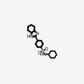 O=S(=O)(NC1CCCCC1)c1ccc(-c2nc3ccccc3[nH]2)cc1